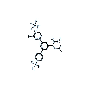 COC(=O)C(CC(C)C)c1cc(-c2ccc(C(F)(F)F)cc2)cc(-c2ccc(OC(F)(F)F)c(F)c2)c1